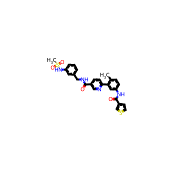 Cc1ccc(NC(=O)c2ccsc2)cc1-c1ccc(C(=O)NCc2cccc(NS(C)(=O)=O)c2)cn1